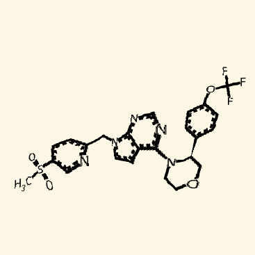 CS(=O)(=O)c1ccc(Cn2ccc3c(N4CCOC[C@@H]4c4ccc(OC(F)(F)F)cc4)ncnc32)nc1